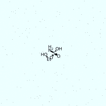 CCO.NS(=O)(=O)O